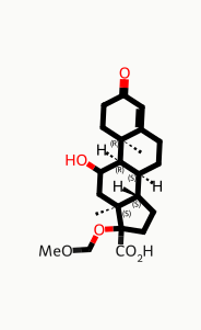 COCOC1(C(=O)O)CC[C@H]2[C@@H]3CCC4=CC(=O)CC[C@]4(C)[C@@H]3C(O)C[C@@]21C